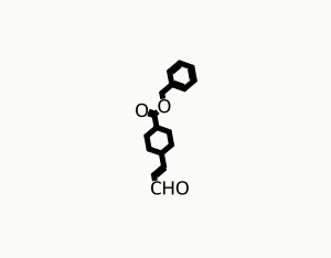 O=C/C=C/C1CCC(C(=O)OCc2ccccc2)CC1